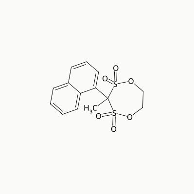 CC1(c2cccc3ccccc23)S(=O)(=O)OCCOS1(=O)=O